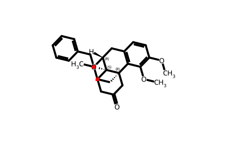 COc1ccc2c(c1OC)[C@]13CCN(C)[C@H](C2)[C@]1(OCc1ccccc1)CCC(=O)C3